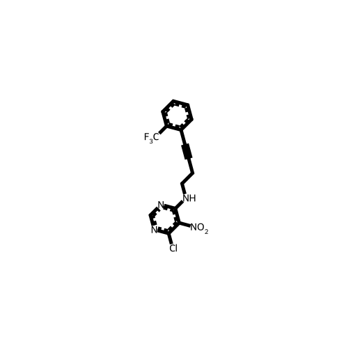 O=[N+]([O-])c1c(Cl)ncnc1NCCC#Cc1ccccc1C(F)(F)F